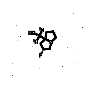 [2H]C([2H])(O)[C@@]12CCCN1C[C@H](F)C2